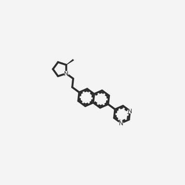 C[C@@H]1CCCN1CCc1ccc2cc(-c3cncnc3)ccc2c1